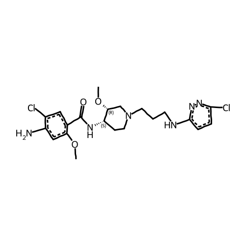 COc1cc(N)c(Cl)cc1C(=O)N[C@H]1CCN(CCCNc2ccc(Cl)nn2)C[C@H]1OC